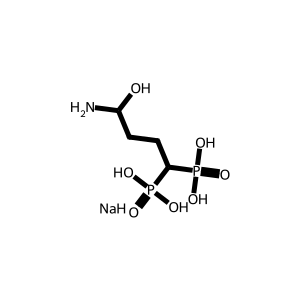 NC(O)CCC(P(=O)(O)O)P(=O)(O)O.[NaH]